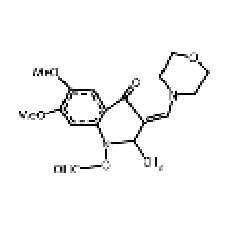 COc1cc2c(cc1OC)N(OC=O)C(C)C(=CN1CCOCC1)C2=O